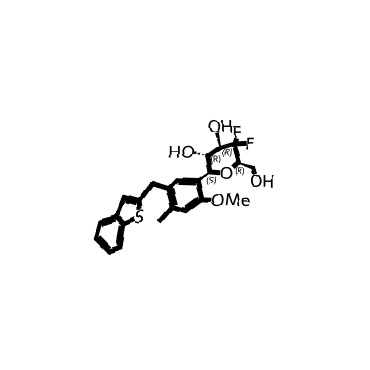 COc1cc(C)c(Cc2cc3ccccc3s2)cc1[C@@H]1O[C@H](CO)C(F)(F)[C@H](O)[C@H]1O